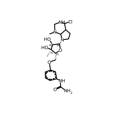 CN1CNC(Cl)C2CCN([C@@H]3O[C@H](COc4cccc(NC(N)=O)c4)[C@@](C)(O)[C@H]3O)C21